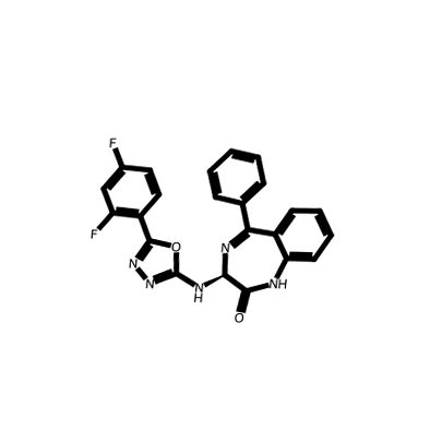 O=C1Nc2ccccc2C(c2ccccc2)=N[C@@H]1Nc1nnc(-c2ccc(F)cc2F)o1